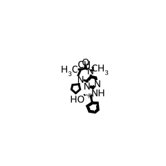 CN1C(=O)C(C)(C)CN(C2CCCC2)c2nc(N[C@@H](CO)c3ccccc3)ncc21